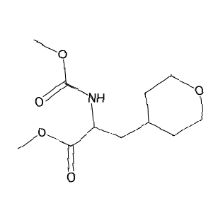 COC(=O)NC(CC1CCOCC1)C(=O)OC